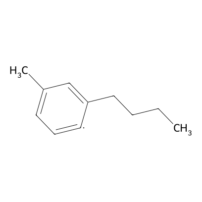 CCCCc1[c]ccc(C)c1